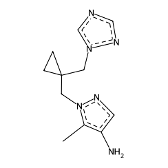 Cc1c(N)cnn1CC1(Cn2cncn2)CC1